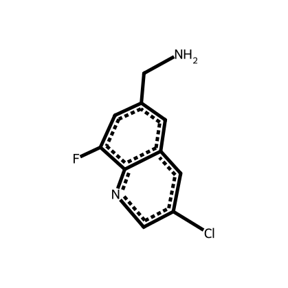 NCc1cc(F)c2ncc(Cl)cc2c1